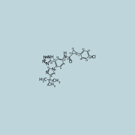 CC(C)(C)c1cn(-c2ccc(NC(=O)C3CC3c3ccc(Cl)cc3)cc2-c2nnn[nH]2)cn1